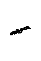 CCCOc1ccc(-c2ccc3c(c2)CCN(CC(=O)N2CCN(C4CCCC4)CC2)C3)cc1